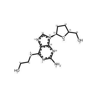 Nc1nc(SCCO)c2ncn([C@H]3CCC(CO)O3)c2n1